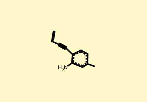 C=CC#Cc1ccc(C)cc1N